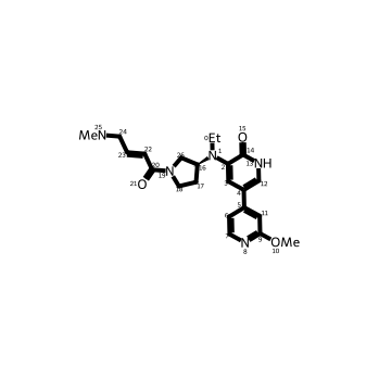 CCN(c1cc(-c2ccnc(OC)c2)c[nH]c1=O)[C@H]1CCN(C(=O)C=CCNC)C1